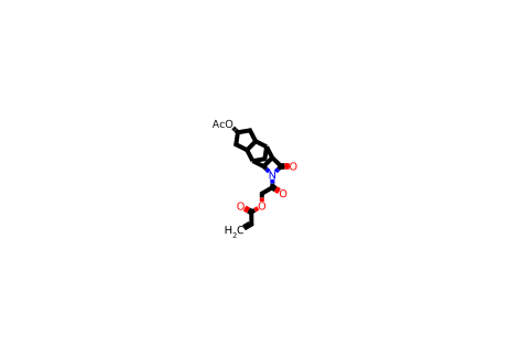 C=CC(=O)OCC(=O)N1C(=O)C2C3CC(C4CC(OC(C)=O)CC43)C21